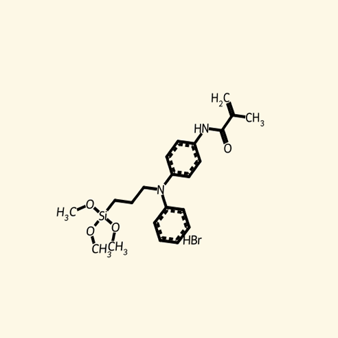 Br.C=C(C)C(=O)Nc1ccc(N(CCC[Si](OC)(OC)OC)c2ccccc2)cc1